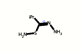 CC(C)/C(=N/N)SN